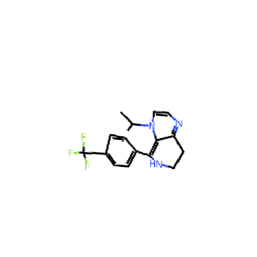 CC(C)N1C=CN=C2CCNC(c3ccc(C(F)(F)F)cc3)=C21